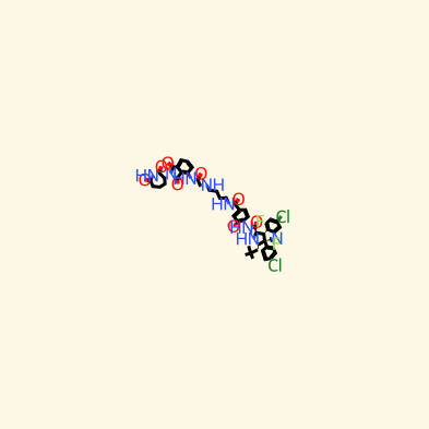 COc1cc(C(=O)NCCCCNCC(=O)Nc2cccc3c2C(=O)N([C@H]2CCCC(=O)NC2=O)C3=O)ccc1NC(=O)[C@@H]1N[C@@H](CC(C)(C)C)[C@](C#N)(c2ccc(Cl)cc2F)[C@H]1c1ccc(Cl)cc1F